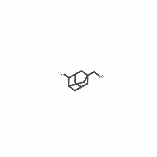 CC1C2CC3CC1CC(C[N+](=O)[O-])(C3)C2